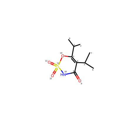 CC(C)C1=C(C(C)C)C(=O)NS(=O)(=O)O1